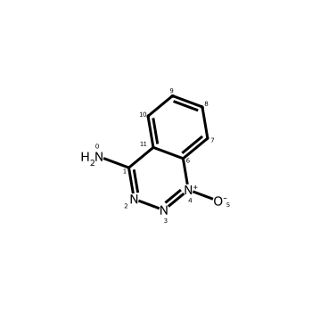 Nc1nn[n+]([O-])c2ccccc12